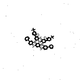 CC(C)(C)c1ccc2c(c1)oc1c3c4c(cc12)B1c2cc(-c5ccccc5)ccc2Sc2cc5c6c(c21)N4c1c(cc2c(oc4cc(C(C)(C)C)ccc42)c1S3)B6c1cc(-c2ccccc2)ccc1S5